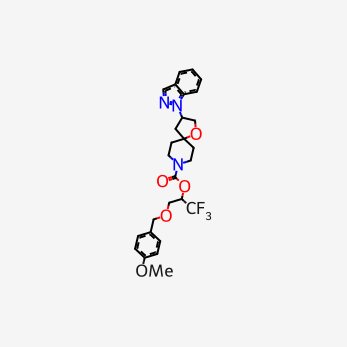 COc1ccc(COCC(OC(=O)N2CCC3(CC2)CC(n2ncc4ccccc42)CO3)C(F)(F)F)cc1